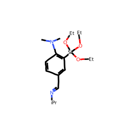 CCO[Si](OCC)(OCC)c1cc(C=NC(C)C)ccc1N(C)C